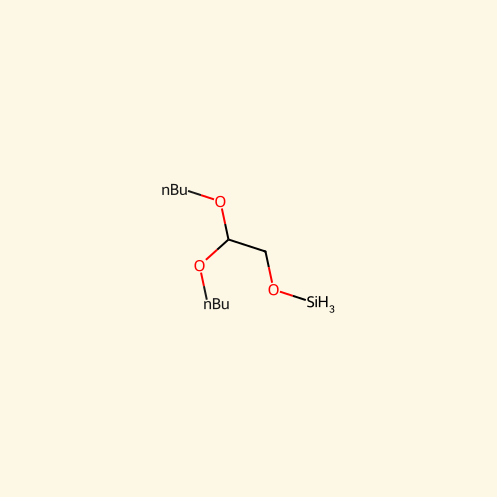 CCCCOC(CO[SiH3])OCCCC